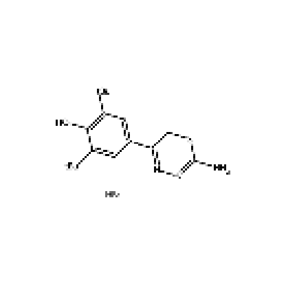 Br.CC(C)(C)c1cc(C2=NN=C(N)SC2)cc(C(C)(C)C)c1O